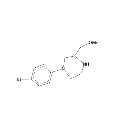 CCc1ccc(N2CCNC(COC)C2)cc1